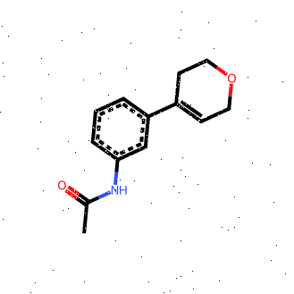 CC(=O)Nc1cccc(C2=CCOCC2)c1